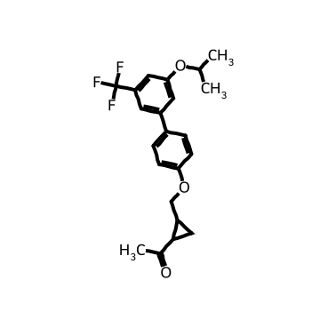 CC(=O)C1CC1COc1ccc(-c2cc(OC(C)C)cc(C(F)(F)F)c2)cc1